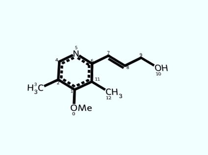 COc1c(C)cnc(C=CCO)c1C